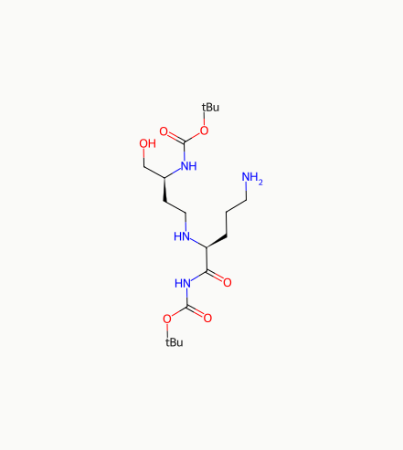 CC(C)(C)OC(=O)NC(=O)[C@H](CCCN)NCC[C@@H](CO)NC(=O)OC(C)(C)C